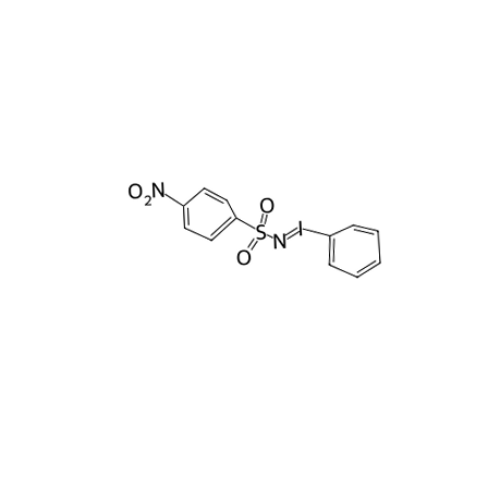 O=[N+]([O-])c1ccc(S(=O)(=O)/N=I/c2ccccc2)cc1